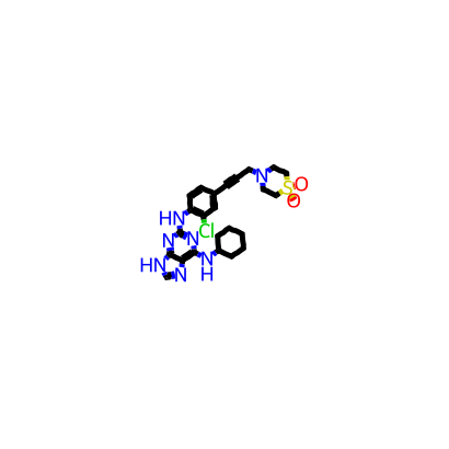 O=S1(=O)CCN(CC#Cc2ccc(Nc3nc(NC4CCCCC4)c4nc[nH]c4n3)c(Cl)c2)CC1